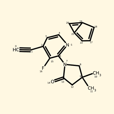 C#Cc1ccnc(N2CC(C)(C)CC2=O)c1F.c1cc2cc-2c1